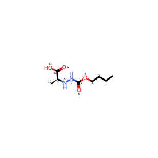 CCCCOC(=O)NN[C@@H](C)C(=O)O